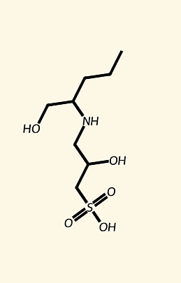 CCCC(CO)NCC(O)CS(=O)(=O)O